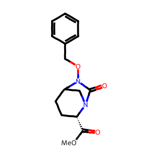 COC(=O)[C@@H]1CCC2CN1C(=O)N2OCc1ccccc1